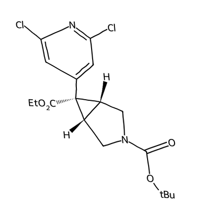 CCOC(=O)[C@]1(c2cc(Cl)nc(Cl)c2)[C@@H]2CN(C(=O)OC(C)(C)C)C[C@@H]21